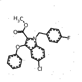 COC(=O)c1c(Oc2ccccc2)c2cc(Cl)ccc2n1Cc1ccc(F)cc1